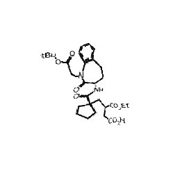 CCOC(=O)C(CC(=O)O)CC1(C(=O)N[C@H]2CCc3ccccc3N(CC(=O)OC(C)(C)C)C2=O)CCCC1